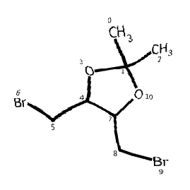 CC1(C)OC(CBr)C(CBr)O1